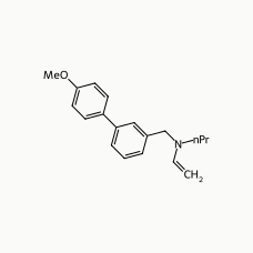 C=CN(CCC)Cc1cccc(-c2ccc(OC)cc2)c1